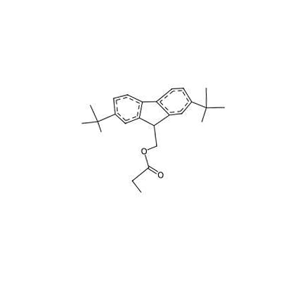 CCC(=O)OCC1c2cc(C(C)(C)C)ccc2-c2ccc(C(C)(C)C)cc21